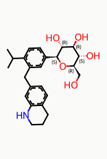 CC(C)c1ccc([C@@H]2O[C@H](CO)[C@@H](O)[C@H](O)[C@H]2O)cc1Cc1ccc2c(c1)NCCC2